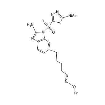 CNc1nnc(S(=O)(=O)n2c(N)nc3ccc(CCCCC=NOC(C)C)cc32)s1